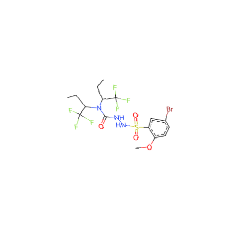 CCC(N(C(=O)NNS(=O)(=O)c1cc(Br)ccc1OC)C(CC)C(F)(F)F)C(F)(F)F